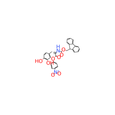 O=C(N[C@@H](Cc1ccc(O)c(O)c1)C(=O)Oc1ccc([N+](=O)[O-])cc1)OCC1c2ccccc2-c2ccccc21